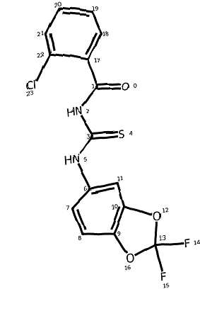 O=C(NC(=S)Nc1ccc2c(c1)OC(F)(F)O2)c1ccccc1Cl